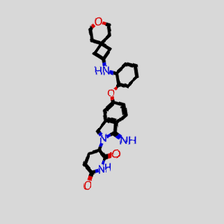 N=C1c2ccc(OC3CCCCC3NC3CC4(CCOCC4)C3)cc2CN1C1CCC(=O)NC1=O